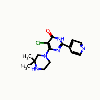 CC1(C)CN(c2nc(-c3ccncc3)[nH]c(=O)c2Cl)CCN1